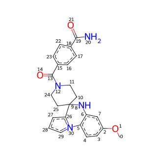 COc1ccc2c(c1)NC1(CCN(C(=O)c3ccc(C(N)=O)cc3)CC1)c1cccn1-2